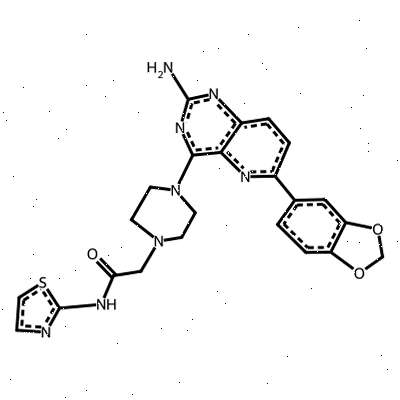 Nc1nc(N2CCN(CC(=O)Nc3nccs3)CC2)c2nc(-c3ccc4c(c3)OCO4)ccc2n1